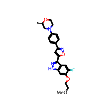 COCCOc1cc2[nH]nc(-c3cc(-c4ccc(N5CCO[C@H](C)C5)cc4)no3)c2cc1F